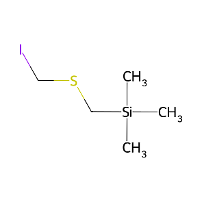 C[Si](C)(C)CSCI